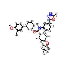 COc1ccc([C@H]2CC[C@H](CN(c3cccc(-c4nnc(C)o4)c3)C(=O)[C@H]3CC[C@H](O[Si](C)(C)C(C)(C)C)CC3)CC2)cc1C